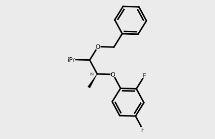 CC(C)C(OCc1ccccc1)[C@H](C)Oc1ccc(F)cc1F